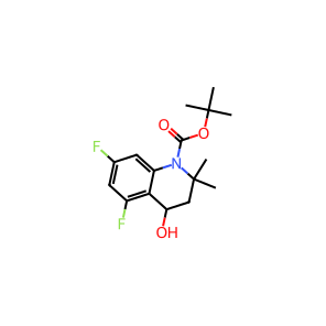 CC(C)(C)OC(=O)N1c2cc(F)cc(F)c2C(O)CC1(C)C